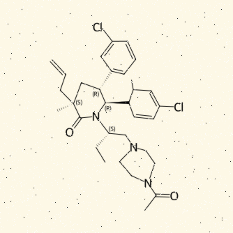 C=CC[C@@]1(C)C[C@H](c2cccc(Cl)c2)[C@@H](C2C=CC(Cl)=CC2C)N([C@@H](CC)CN2CCN(C(C)=O)CC2)C1=O